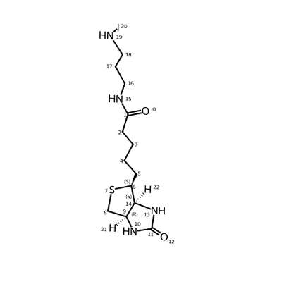 O=C(CCCC[C@@H]1SC[C@@H]2NC(=O)N[C@@H]21)NCCCNI